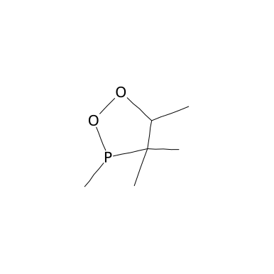 CC1OOP(C)C1(C)C